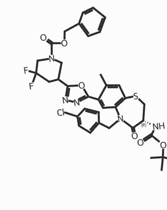 Cc1cc2c(cc1-c1nnc(C3CN(C(=O)OCc4ccccc4)CC(F)(F)C3)o1)N(Cc1ccc(Cl)cc1)C(=O)[C@@H](NC(=O)OC(C)(C)C)CS2